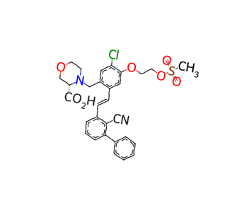 CS(=O)(=O)OCCOc1cc(/C=C/c2cccc(-c3ccccc3)c2C#N)c(CN2CCOC[C@H]2C(=O)O)cc1Cl